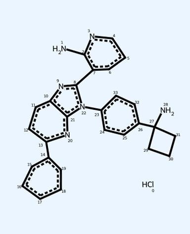 Cl.Nc1ncccc1-c1nc2ccc(-c3ccccc3)nc2n1-c1ccc(C2(N)CCC2)cc1